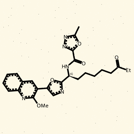 CCC(=O)CCCCC[C@H](NC(=O)c1nnc(C)o1)c1ncc(-c2cc3ccccc3nc2OC)o1